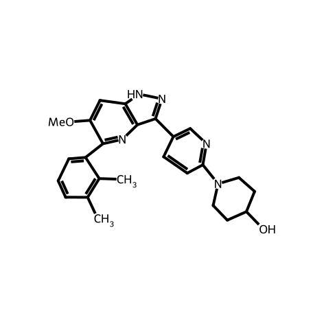 COc1cc2[nH]nc(-c3ccc(N4CCC(O)CC4)nc3)c2nc1-c1cccc(C)c1C